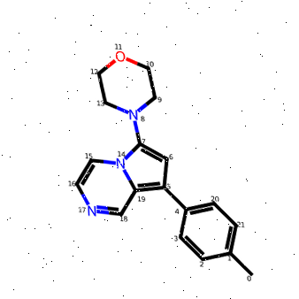 Cc1ccc(-c2cc(N3CCOCC3)n3ccncc23)cc1